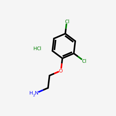 Cl.NCCOc1ccc(Cl)cc1Cl